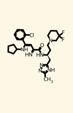 Cc1nnc(C[C@H](CCN2CCCC(F)(F)C2)NC(=O)C(=N)/C=C(\NC2CCCC2)c2ccccc2Cl)[nH]1